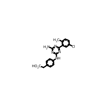 Cc1ccc(Cl)cc1-c1nc(N)nc(Nc2ccc(CC(=O)O)cc2)n1